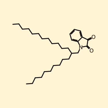 CCCCCCCCCCCCC(CCCCCCCCCC)CN1C(=O)C(=O)c2ccccc21